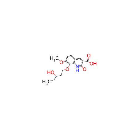 CCC(O)CCOc1c(OC)ccc2cc(C(=O)O)c(=O)[nH]c12